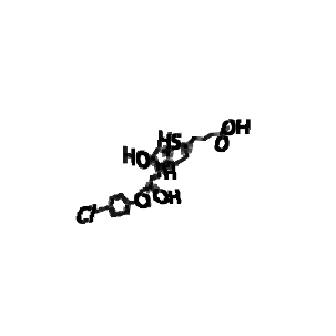 O=C(O)CCC[C@H]1CC[C@@H]2[C@@H](C=C[C@@H](O)COc3ccc(Cl)cc3)[C@H](O)C[C@@H]2S1